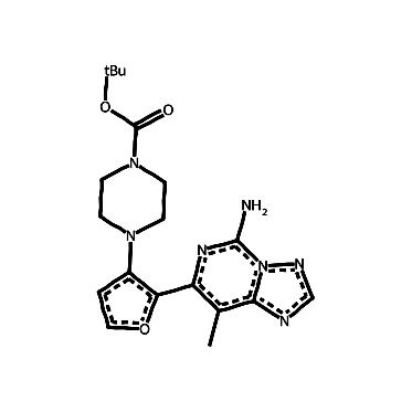 Cc1c(-c2occc2N2CCN(C(=O)OC(C)(C)C)CC2)nc(N)n2ncnc12